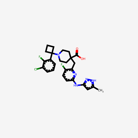 Cc1cc(Nc2ccc(F)c(CC3(C(=O)O)CCN(C4(c5cccc(Cl)c5F)CCC4)CC3)n2)n[nH]1